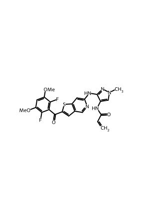 C=CC(=O)Nc1cn(C)nc1Nc1cc2sc(C(=O)c3c(F)c(OC)cc(OC)c3F)cc2cn1